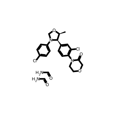 C[C@@H]1OCN(c2ccc(Cl)cc2)[C@@H]1c1ccc(N2CCOCC2=O)c(Cl)c1.NC=O.NC=O